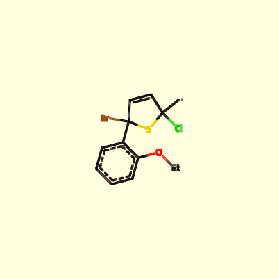 [CH2]C1(Cl)C=CC(Br)(c2ccccc2OCC)S1